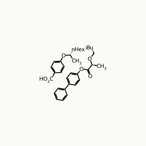 CCCCCC[C@H](C)Oc1ccc(C(=O)O)cc1.CC[C@H](C)CO[C@@H](C)C(=O)Oc1ccc(-c2ccccc2)cc1